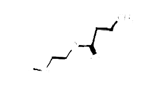 CCCC(=O)OCCOC